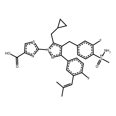 CC(C)=Cc1cc(-c2nn(-c3nc(C(=O)O)cs3)c(CC3CC3)c2Cc2ccc([SH](C)(N)=O)c(F)c2)ccc1F